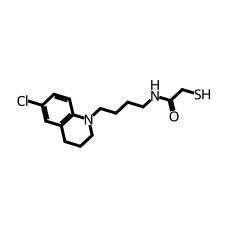 O=C(CS)NCCCCN1CCCc2cc(Cl)ccc21